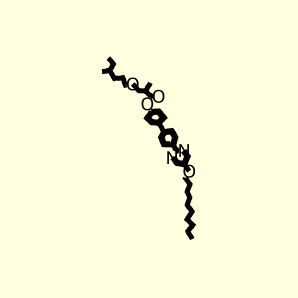 CCCCCCCCCCOc1cnc(-c2ccc(-c3ccc(OC(=O)C(C)COCCCC(C)CC)cc3)cc2)nc1